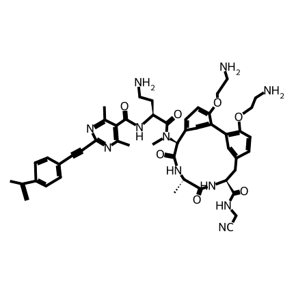 C=C(C)c1ccc(C#Cc2nc(C)c(C(=O)N[C@@H](CCN)C(=O)N(C)[C@@H]3C(=O)N[C@@H](C)C(=O)N[C@H](C(=O)NCC#N)Cc4ccc(OCCN)c(c4)-c4cc3ccc4OCCN)c(C)n2)cc1